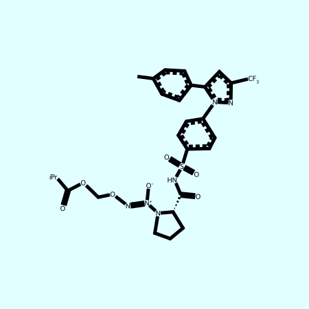 Cc1ccc(-c2cc(C(F)(F)F)nn2-c2ccc(S(=O)(=O)NC(=O)[C@@H]3CCCN3/[N+]([O-])=N/OCOC(=O)C(C)C)cc2)cc1